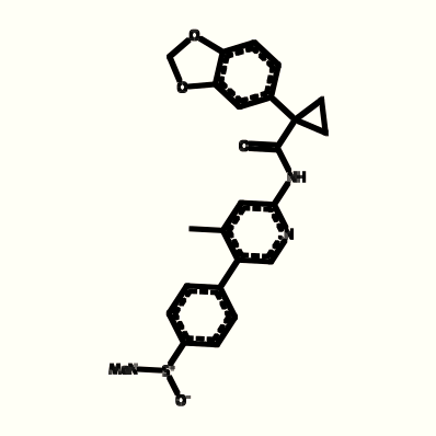 CN[S+]([O-])c1ccc(-c2cnc(NC(=O)C3(c4ccc5c(c4)OCO5)CC3)cc2C)cc1